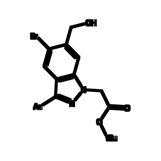 CC(=O)c1nn(CC(=O)OC(C)(C)C)c2cc(CO)c(Br)cc12